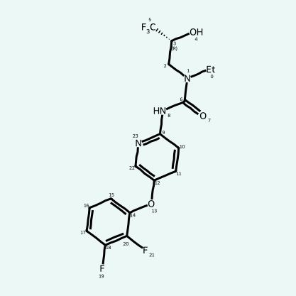 CCN(C[C@@H](O)C(F)(F)F)C(=O)Nc1ccc(Oc2cccc(F)c2F)cn1